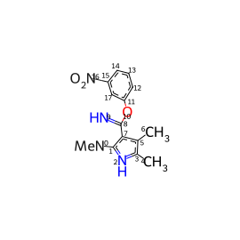 CNc1[nH]c(C)c(C)c1C(=N)Oc1cccc([N+](=O)[O-])c1